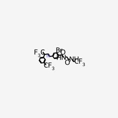 O=C(CNC(=O)c1ccc(/C=C/C(c2cccc(C(F)(F)F)c2)C(F)(F)F)cc1Br)NCC(F)(F)F